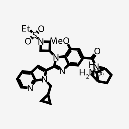 CCS(=O)(=O)N1CC(n2c(-c3cc4cccnc4n3CC3CC3)nc3cc(C(=O)N4CC5CCC4[C@@H]5N)cc(OC)c32)C1